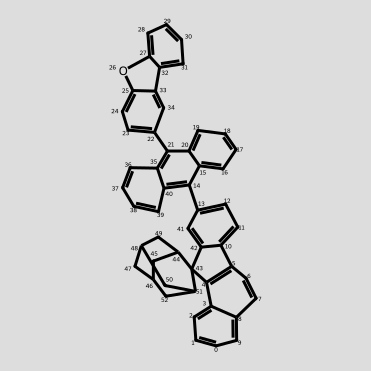 c1ccc2c3c(ccc2c1)-c1ccc(-c2c4ccccc4c(-c4ccc5oc6ccccc6c5c4)c4ccccc24)cc1C31C2CC3CC(C2)CC1C3